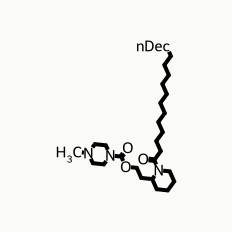 CCCCCCCCCCCCCCCCCCCCCC(=O)N1CCCCC1CCOC(=O)N1CCN(C)CC1